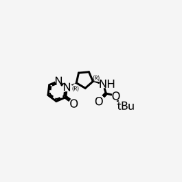 CC(C)(C)OC(=O)N[C@@H]1CC[C@@H](n2ncccc2=O)C1